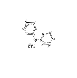 CCN(c1cc[c]cc1)c1ccccc1